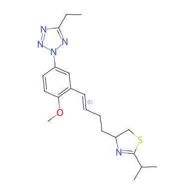 CCc1nnn(-c2ccc(OC)c(/C=C/CCC3CSC(C(C)C)=N3)c2)n1